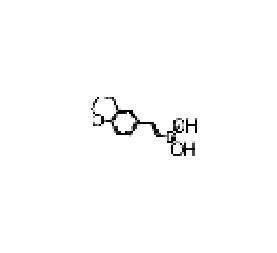 OB(O)C=Cc1ccc2c(c1)CCCO2